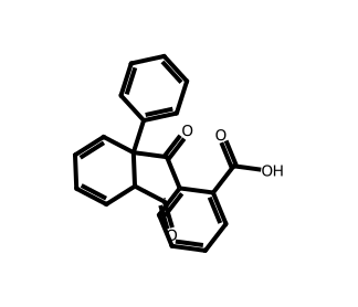 O=[C]C1C=CC=CC1(C(=O)c1ccccc1C(=O)O)c1ccccc1